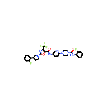 O=C(Nc1ccc(N2CCN(C(=O)Nc3ccccc3F)CC2)nc1)c1oc(N2CCC(c3ccccc3F)C2)nc1C(F)(F)F